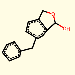 OC1OCc2ccc(Cc3ccccc3)cc21